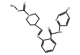 CC(C)(C)OC(=O)N1CCC(C=Nc2ccccc2C(=O)Nc2ccc(Cl)cn2)CC1